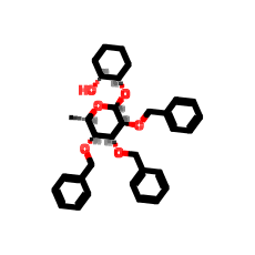 C[C@@H]1O[C@@H](O[C@H]2CCCC[C@H]2O)[C@@H](OCc2ccccc2)[C@H](OCc2ccccc2)[C@@H]1OCc1ccccc1